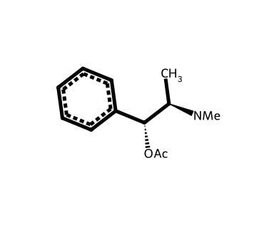 CN[C@H](C)[C@H](OC(C)=O)c1ccccc1